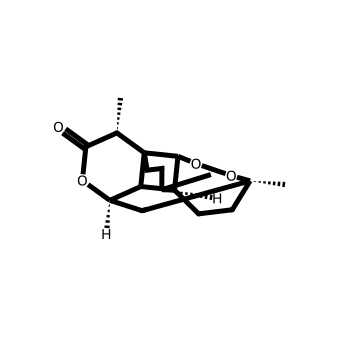 C[C@@H]1CCC23C4OO[C@@]5(C)CCC41C2[C@@H](C5)OC(=O)[C@@H]3C